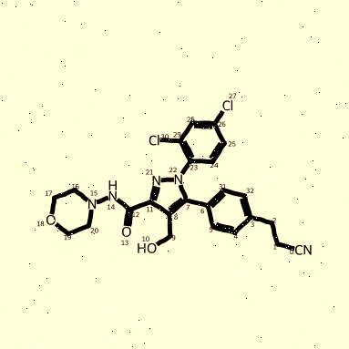 N#CCCc1ccc(-c2c(CO)c(C(=O)NN3CCOCC3)nn2-c2ccc(Cl)cc2Cl)cc1